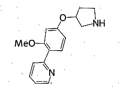 COc1cc(OC2CCNC2)ccc1-c1ccc[c]n1